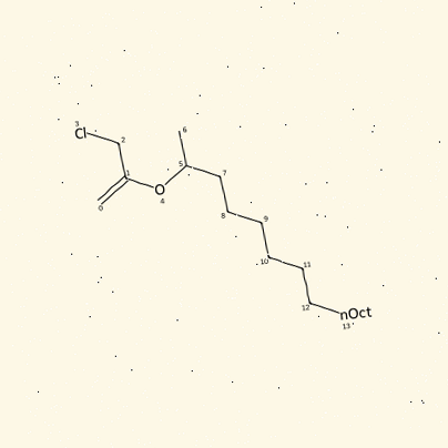 C=C(CCl)OC(C)CCCCCCCCCCCCCC